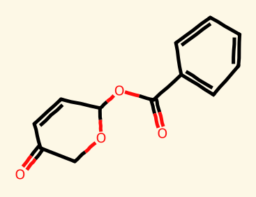 O=C1C=CC(OC(=O)c2ccccc2)OC1